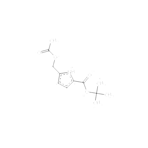 CC(=O)OCc1ccc(C(=O)OC(C)(C)C)[nH]1